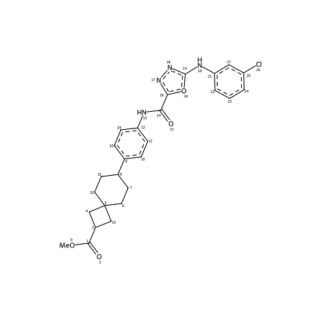 COC(=O)C1CC2(CCC(c3ccc(NC(=O)c4nnc(Nc5cccc(Cl)c5)o4)cc3)CC2)C1